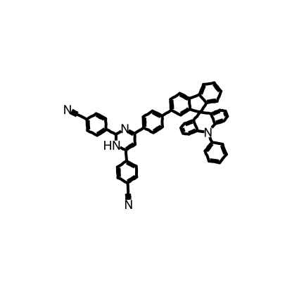 N#Cc1ccc(C2=CC(c3ccc(-c4ccc5c(c4)C4(c6ccccc6-5)c5ccccc5N(c5ccccc5)c5ccccc54)cc3)=NC(c3ccc(C#N)cc3)N2)cc1